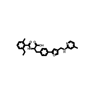 CCc1cccc(C)c1C(=O)NC(Cc1ccc(-c2cc(CNc3cc(C)ccn3)co2)cc1)C(=O)O